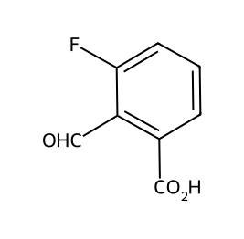 O=Cc1c(F)cccc1C(=O)O